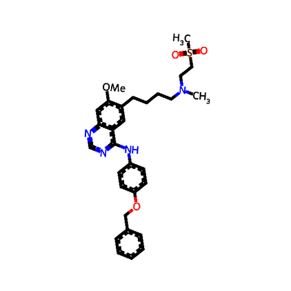 COc1cc2ncnc(Nc3ccc(OCc4ccccc4)cc3)c2cc1CCCCN(C)CCS(C)(=O)=O